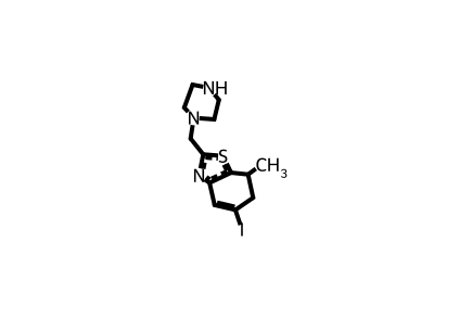 CC1CC(I)=Cc2nc(CN3CCNCC3)sc21